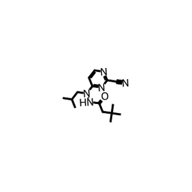 CC(C)CN(NC(=O)CC(C)(C)C)c1ccnc(C#N)n1